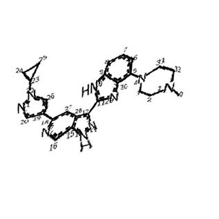 CN1CCN(c2cccc3[nH]c(-c4n[nH]c5cnc(-c6cnn(C7CC7)c6)cc45)nc23)CC1